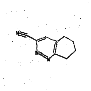 N#Cc1cc2c(nn1)CCCC2